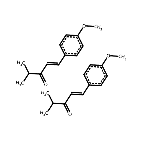 COc1ccc(/C=C/C(=O)C(C)C)cc1.COc1ccc(/C=C/C(=O)C(C)C)cc1